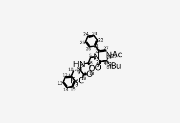 CC[C@H](C)[C@H]1C(=O)N(CC(=O)N[C@@H](Cc2ccccc2)C(=O)C(F)(F)F)C(c2ccccc2)=CN1C(C)=O